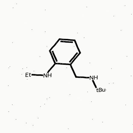 CCNc1ccccc1CNC(C)(C)C